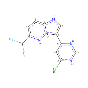 FC(F)c1ccc2ncc(-c3cc(Cl)ncn3)n2n1